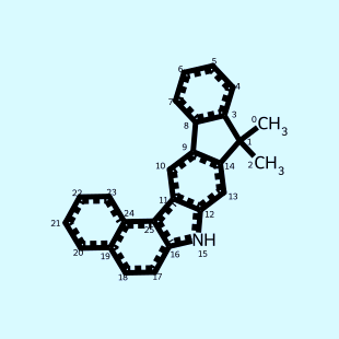 CC1(C)c2ccccc2-c2cc3c(cc21)[nH]c1ccc2ccccc2c13